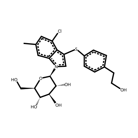 Cc1cc(Cl)c2c(Sc3ccc(CCO)cc3)cn([C@@H]3O[C@H](CO)[C@@H](O)[C@H](O)[C@H]3O)c2c1